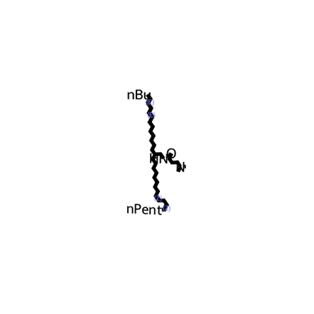 CCCC/C=C/C/C=C/CCCCCCCC(CCCCCCCC/C=C\C/C=C\CCCCC)CNC(=O)CCN(C)C